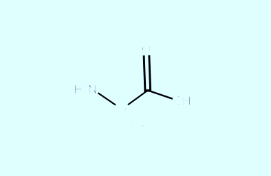 CC(=O)ON.[Cd]